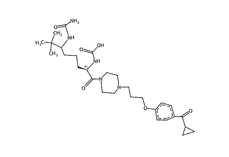 CC(C)(C)C(CCC[C@@H](NC(=O)O)C(=O)N1CCN(CCCOc2ccc(C(=O)C3CC3)cc2)CC1)NC(N)=O